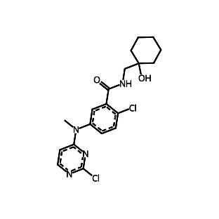 CN(c1ccc(Cl)c(C(=O)NCC2(O)CCCCC2)c1)c1ccnc(Cl)n1